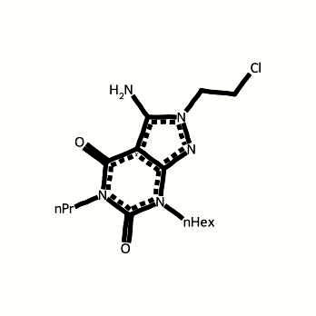 CCCCCCn1c(=O)n(CCC)c(=O)c2c(N)n(CCCl)nc21